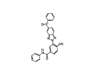 O=C(Nc1ccccc1)c1ccc(O)c(-n2nc3ccc([S+]([O-])c4ccccc4)cc3n2)c1